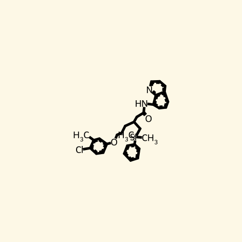 Cc1cc(OCCCC(CC(=O)Nc2cccc3cccnc23)C[Si](C)(C)c2ccccc2)ccc1Cl